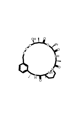 CC(C)[C@@H]1OC(=O)[C@H](C)[C@H](O)CCCCc2cccc(c2)[C@@H](C)NC(=O)[C@@H]2CCCN(N2)C(=O)[C@H](C)NC1=O